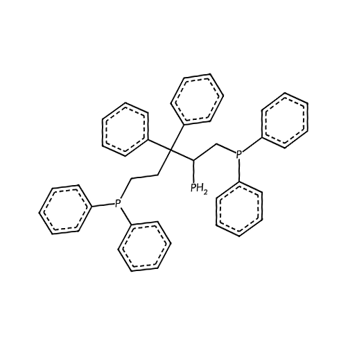 PC(CP(c1ccccc1)c1ccccc1)C(CCP(c1ccccc1)c1ccccc1)(c1ccccc1)c1ccccc1